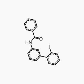 O=C(Nc1cccc(-c2ccccc2I)c1)c1ccccc1